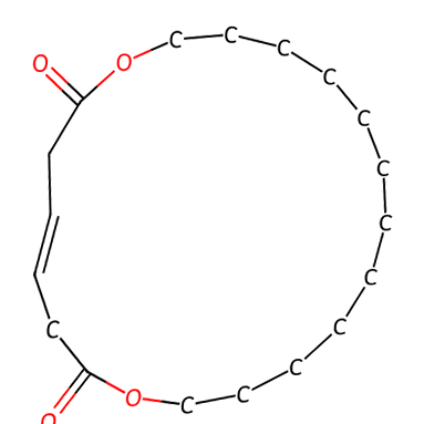 O=C1C/C=C/CC(=O)OCCCCCCCCCCCCO1